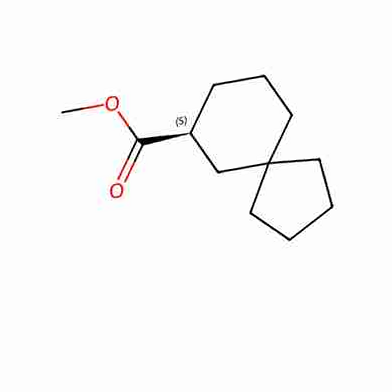 COC(=O)[C@H]1CCCC2(CCCC2)C1